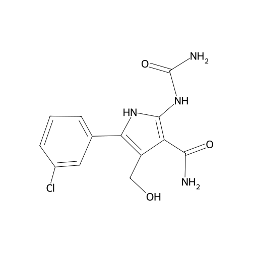 NC(=O)Nc1[nH]c(-c2cccc(Cl)c2)c(CO)c1C(N)=O